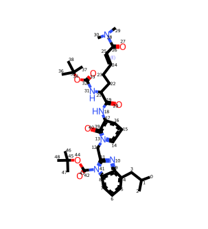 CC(C)Cc1cccc2c1nc(Cn1cccc(NC(=O)C(CC/C=C/C(=O)N(C)C)NC(=O)OC(C)(C)C)c1=O)n2C(=O)OC(C)(C)C